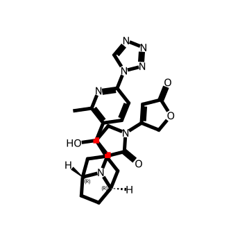 Cc1nc(-n2cnnn2)ccc1C(O)CN1[C@@H]2CC[C@@H]1CC1(CCN(C3=CC(=O)OC3)C1=O)C2